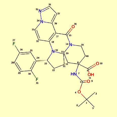 CC(C)(C)OC(=O)NC1(C(=O)O)CCN(C(=O)c2c(N3CCC[C@@H]3c3cc(F)ccc3F)ccn3nccc23)CC1